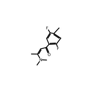 C/C(=C/C(=O)c1cc(F)c(C)cc1F)N(C)C